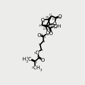 C=C(C)C(=O)OCCCC(=O)OC1C2OC(=O)C3C2OC1C3C(=O)O